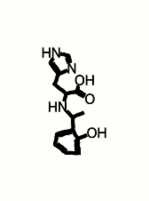 CC(NC(Cc1c[nH]cn1)C(=O)O)c1ccccc1O